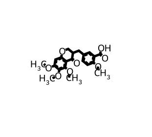 COc1ccc(CC2COc3cc(OC)c(OC)c(OC)c3C2=O)cc1C(=O)O